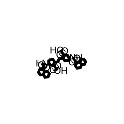 O=S(=O)(O)c1cc(NS(=O)(=O)c2cccc3ccccc23)ccc1/C=C/c1ccc(NS(=O)(=O)c2cccc3ccccc23)cc1S(=O)(=O)O